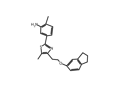 Cc1ccc(-c2nc(CCOc3ccc4c(c3)CCC4)c(C)s2)cc1N